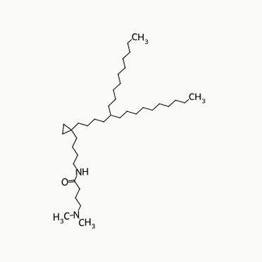 CCCCCCCCCCC(CCCCCCCCCC)CCCCC1(CCCCNC(=O)CCCN(C)C)CC1